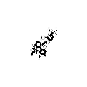 Cc1nn2c3c(nc2s1)CCN(C(=O)COc1ccc(C(=O)N(C)C)nc1Cl)C3c1ccc(C)c(F)c1F